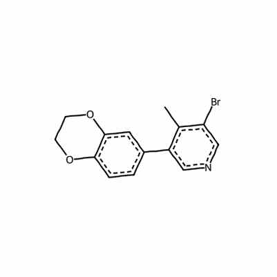 Cc1c(Br)cncc1-c1ccc2c(c1)OCCO2